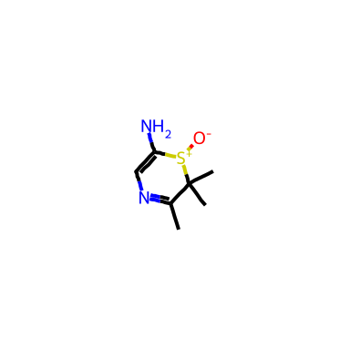 CC1=NC=C(N)[S+]([O-])C1(C)C